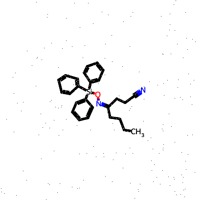 CCCCC(CCC#N)=NO[Si](c1ccccc1)(c1ccccc1)c1ccccc1